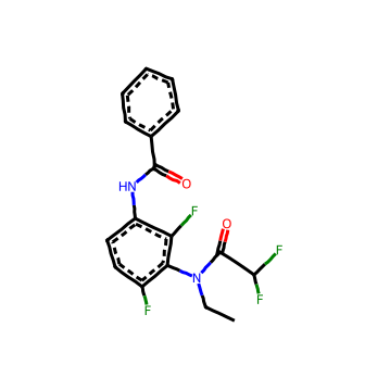 CCN(C(=O)C(F)F)c1c(F)ccc(NC(=O)c2ccccc2)c1F